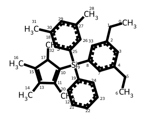 CCc1cc(CC)cc([Si](C2=C(C)C(C)=C(C)C2C)(c2ccccc2)c2cc(C)cc(C)c2)c1